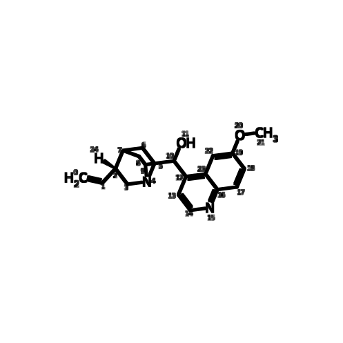 C=C[C@H]1CN2CCC1CC2C(O)c1ccnc2ccc(OC)cc12